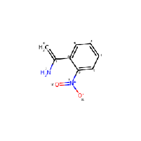 C=C(N)c1ccccc1[N+](=O)[O-]